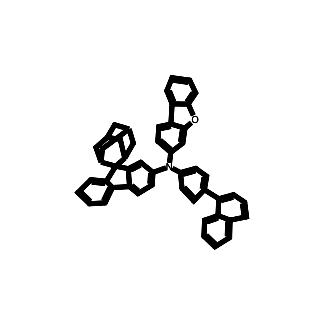 c1ccc2c(c1)-c1ccc(N(c3ccc(-c4cccc5ccccc45)cc3)c3ccc4c(c3)oc3ccccc34)cc1C21C2CC3CC(C2)CC1C3